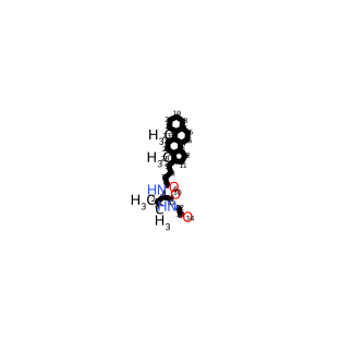 CC(C)C(NC(=O)CCCC1CCC2C3CCC4CCCCC4(C)C3CCC12C)C(=O)NCC=O